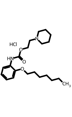 CCCCCCCOc1ccccc1NC(=O)OCCN1CCCCC1.Cl